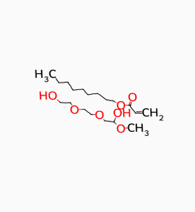 C=CC(=O)OCCCCCCCCC.COC(O)COCCOCCO